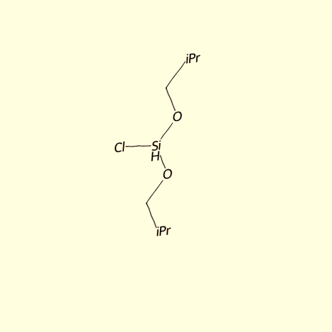 CC(C)CO[SiH](Cl)OCC(C)C